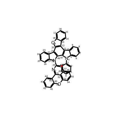 c1ccc(-n2c3ccccc3c3c4c5ccccc5oc4c4c5ccccc5n(-c5nc6c7c(cccc7n5)Oc5ccccc5-6)c4c32)cc1